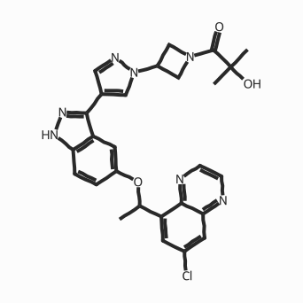 CC(Oc1ccc2[nH]nc(-c3cnn(C4CN(C(=O)C(C)(C)O)C4)c3)c2c1)c1cc(Cl)cc2nccnc12